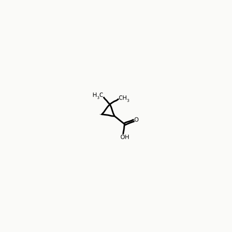 CC1(C)[CH]C1C(=O)O